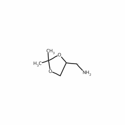 CC1(C)OCC([CH]N)O1